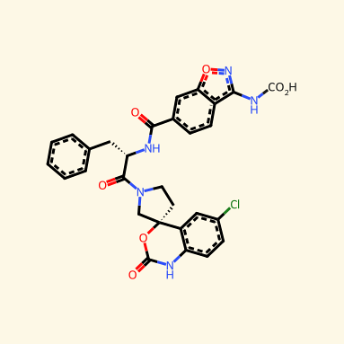 O=C(O)Nc1noc2cc(C(=O)N[C@@H](Cc3ccccc3)C(=O)N3CC[C@@]4(C3)OC(=O)Nc3ccc(Cl)cc34)ccc12